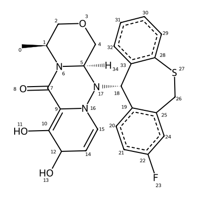 C[C@H]1COC[C@@H]2N1C(=O)C1=C(O)C(O)C=CN1N2[C@H]1c2ccc(F)cc2CSc2ccccc21